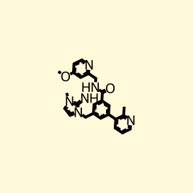 COc1ccnc(CNC(=O)c2cc(Cn3ccn(C)c3=N)cc(-c3cccnc3C)c2)c1